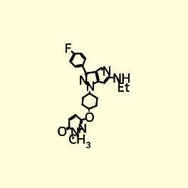 CCNc1cc2c(cn1)c(-c1ccc(F)cc1)nn2[C@H]1CC[C@@H](Oc2ccc(=O)n(C)n2)CC1